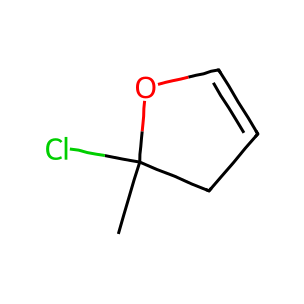 CC1(Cl)CC=CO1